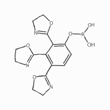 OB(O)Oc1ccc(C2=NCCO2)c(C2=NCCO2)c1C1=NCCO1